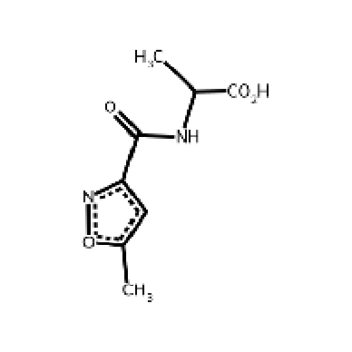 Cc1cc(C(=O)NC(C)C(=O)O)no1